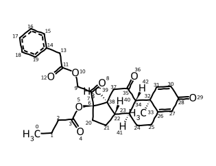 CCCC(=O)O[C@]1(C(=O)COC(=O)Cc2ccccc2)CC[C@H]2[C@@H]3CCC4=CC(=O)C=C[C@]4(C)[C@H]3C(=O)C[C@@]21C